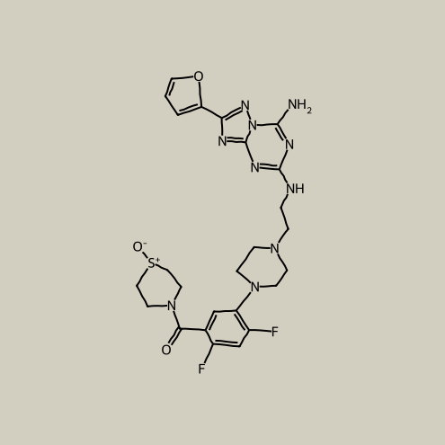 Nc1nc(NCCN2CCN(c3cc(C(=O)N4CC[S+]([O-])CC4)c(F)cc3F)CC2)nc2nc(-c3ccco3)nn12